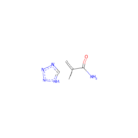 C=C(C)C(N)=O.c1nnn[nH]1